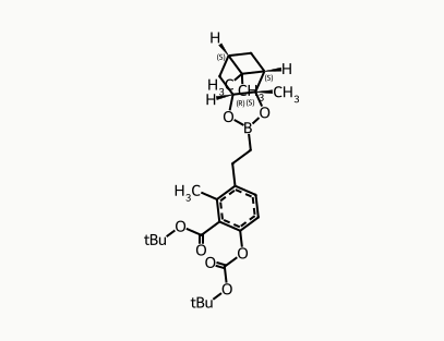 Cc1c(CCB2O[C@@H]3C[C@@H]4C[C@@H](C4(C)C)[C@]3(C)O2)ccc(OC(=O)OC(C)(C)C)c1C(=O)OC(C)(C)C